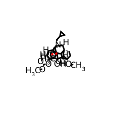 COC(=O)Oc1ccc2c3c1O[C@H]1[C@]4(OC)CC[C@@]5(C[C@@H]4[C@](C)(O)C(C)(C)C)[C@@H](C2)N(CC2CC2)CC[C@]315